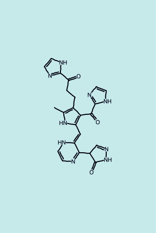 Cc1[nH]c(C=C2NC=CN=C2C2C=NNC2=O)c(C(=O)c2ncc[nH]2)c1CCC(=O)c1ncc[nH]1